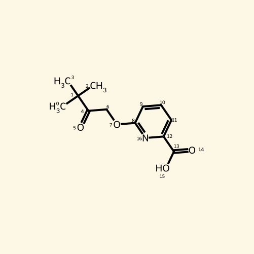 CC(C)(C)C(=O)COc1cccc(C(=O)O)n1